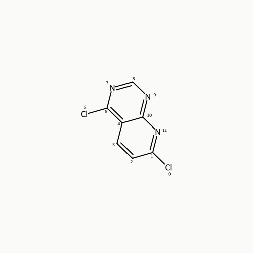 Clc1ccc2c(Cl)ncnc2n1